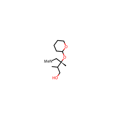 CNC[C@](C)(OC1CCCCO1)C(C)CO